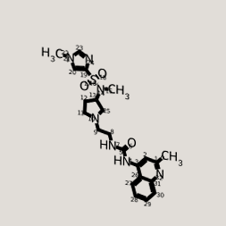 Cc1cc(NC(=O)NCCN2CCC(N(C)S(=O)(=O)c3cn(C)cn3)C2)c2ccccc2n1